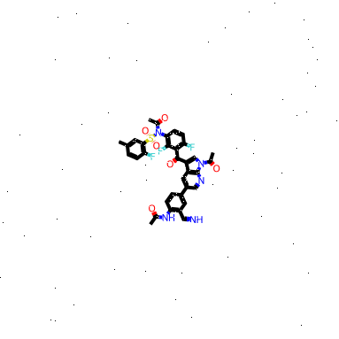 CC(=O)Nc1ccc(-c2cnc3c(c2)c(C(=O)c2c(F)ccc(N(C(C)=O)S(=O)(=O)c4cc(C)ccc4F)c2F)cn3C(C)=O)cc1C=N